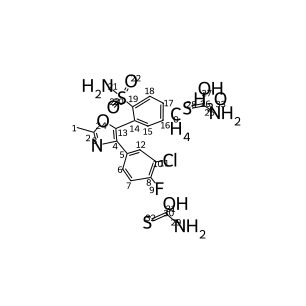 C.Cc1nc(-c2ccc(F)c(Cl)c2)c(-c2ccccc2S(N)(=O)=O)o1.NC(O)=S.NC(O)=S.O